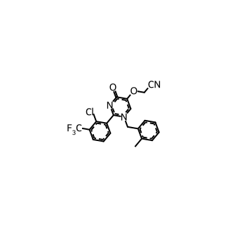 Cc1ccccc1Cn1cc(OCC#N)c(=O)nc1-c1cccc(C(F)(F)F)c1Cl